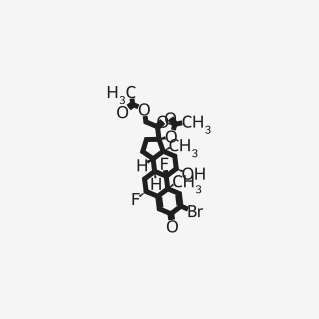 CC(=O)OCC(=O)[C@@]1(OC(C)=O)CC[C@H]2[C@@H]3C[C@@H](F)C4=CC(=O)C(Br)=C[C@]4(C)C3(F)[C@@H](O)C[C@@]21C